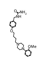 COc1ccccc1N1CCN(CCCCOc2ccc(CNC(N)=O)cc2)CC1